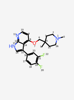 CN1CCC(C)(COc2ccnc3[nH]cc(-c4ccc(F)c(F)c4)c23)CC1